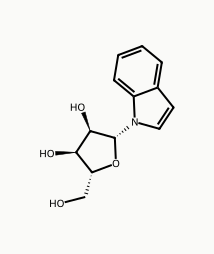 OC[C@H]1O[C@@H](n2ccc3ccccc32)[C@H](O)[C@@H]1O